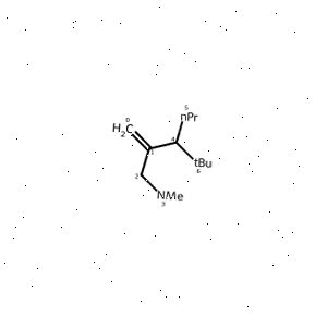 C=C(CNC)C(CCC)C(C)(C)C